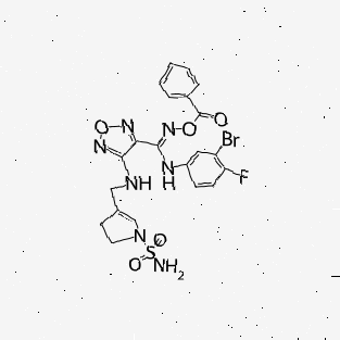 NS(=O)(=O)N1C=C(CNc2nonc2/C(=N/OC(=O)c2ccccc2)Nc2ccc(F)c(Br)c2)CC1